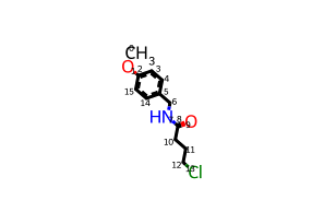 COc1ccc(CNC(=O)CCCCl)cc1